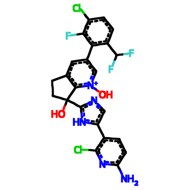 Nc1ccc(-c2cnc(C3(O)CCc4cc(-c5c(C(F)F)ccc(Cl)c5F)c[n+](O)c43)[nH]2)c(Cl)n1